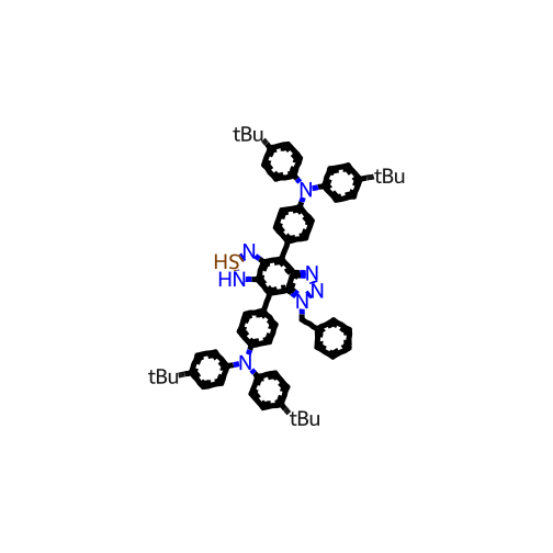 CC(C)(C)c1ccc(N(c2ccc(-c3c4c(c(-c5ccc(N(c6ccc(C(C)(C)C)cc6)c6ccc(C(C)(C)C)cc6)cc5)c5c3nnn5Cc3ccccc3)N[SH]=N4)cc2)c2ccc(C(C)(C)C)cc2)cc1